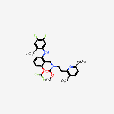 COc1ccc([N+](=O)[O-])c(CCN(Cc2c(Nc3cc(F)c(F)cc3C(=O)O)cccc2OC(F)F)C(=O)OC(C)(C)C)n1